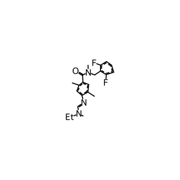 CCN(C)C=Nc1cc(C)c(C(=O)N(C)Cc2c(F)cccc2F)cc1C